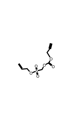 C#CCOC(=O)OCS(=O)(=O)OCC=C